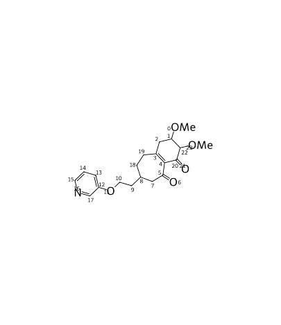 COC1CC2=C(C(=O)CC(CCOc3cccnc3)CC2)C(=O)C1OC